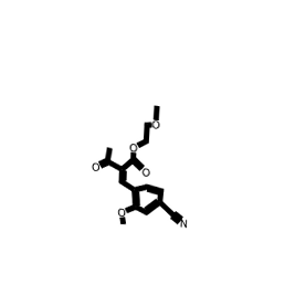 COCCOC(=O)C(=Cc1ccc(C#N)cc1OC)C(C)=O